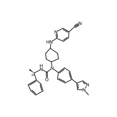 C[C@@H](NC(=O)N(c1ccc(-c2cnn(C)c2)cc1)C1CCC(Nc2ccc(C#N)cn2)CC1)c1ccccc1